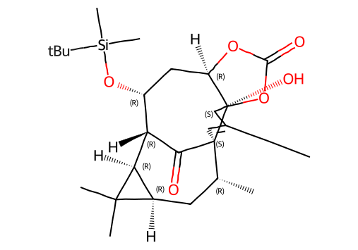 CC1=C[C@@]23C(=O)[C@H]([C@H]4[C@@H](C[C@H]2C)C4(C)C)[C@H](O[Si](C)(C)C(C)(C)C)C[C@H]2OC(=O)OC23[C@H]1O